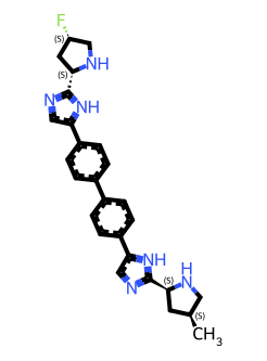 C[C@@H]1CN[C@H](c2ncc(-c3ccc(-c4ccc(-c5cnc([C@@H]6C[C@H](F)CN6)[nH]5)cc4)cc3)[nH]2)C1